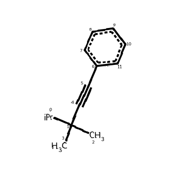 CC(C)C(C)(C)C#Cc1ccccc1